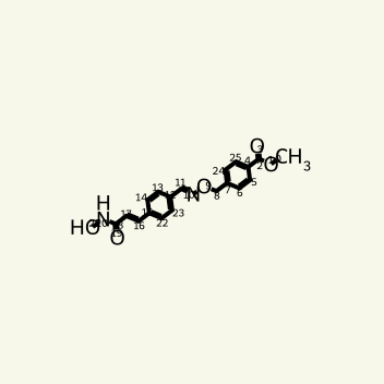 COC(=O)c1ccc(CON=Cc2ccc(C=CC(=O)NO)cc2)cc1